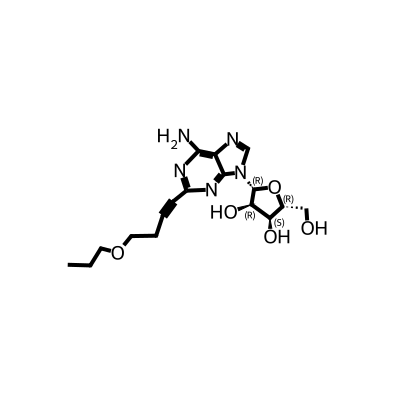 CCCOCCC#Cc1nc(N)c2ncn([C@@H]3O[C@H](CO)[C@@H](O)[C@H]3O)c2n1